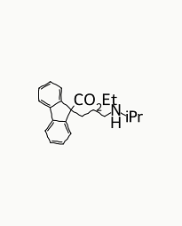 CCOC(=O)C1(CCCNC(C)C)c2ccccc2-c2ccccc21